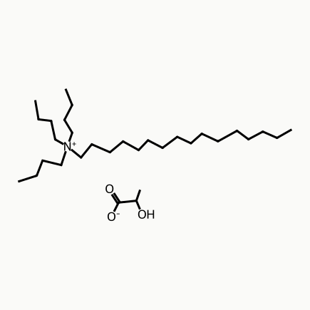 CC(O)C(=O)[O-].CCCCCCCCCCCCCCCC[N+](CCCC)(CCCC)CCCC